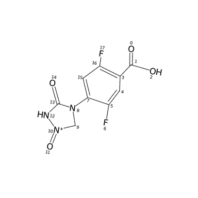 O=C(O)c1cc(F)c(N2C[N+](=O)NC2=O)cc1F